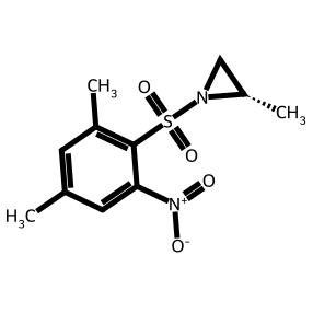 Cc1cc(C)c(S(=O)(=O)N2C[C@@H]2C)c([N+](=O)[O-])c1